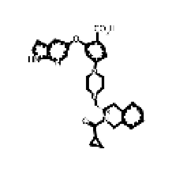 O=C(O)c1ccc(N2CCN(C[C@@H]3Cc4ccccc4CN3C(=O)C3CC3)CC2)cc1Oc1cnc2[nH]ccc2c1